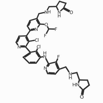 O=C1CCC(CNCc2ccc(-c3ccnc(-c4cccc(Nc5nccc(CNCC6CCC(=O)N6)c5F)c4Cl)c3Cl)nc2OC(F)F)N1